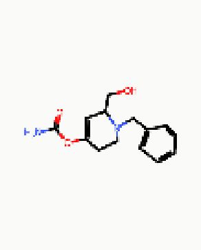 NC(=O)OC1=CC(CO)N(Cc2ccccc2)CC1